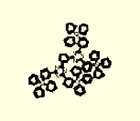 c1ccc([Si](c2ccccc2)(c2ccccc2)c2cccc(-c3nc(-c4cccc(-c5nc(-c6cccc([Si](c7ccccc7)(c7ccccc7)c7ccccc7)c6)nc(-c6cccc([Si](c7ccccc7)(c7ccccc7)c7ccccc7)c6)n5)c4)nc(-c4cccc([Si](c5ccccc5)(c5ccccc5)c5ccccc5)c4)n3)c2)cc1